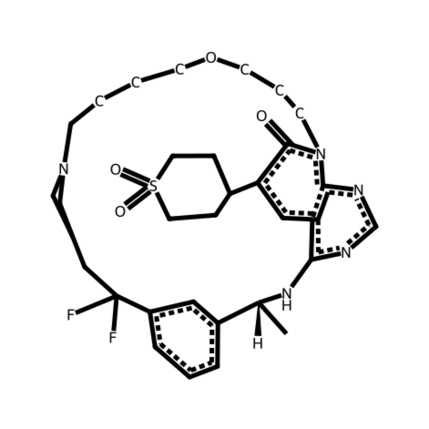 C[C@H]1Nc2ncnc3c2cc(C2CCS(=O)(=O)CC2)c(=O)n3CCCOCCCCN2CC(C2)CC(F)(F)c2cccc1c2